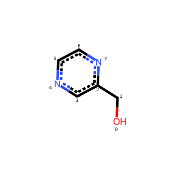 OCc1[c]nc[c]n1